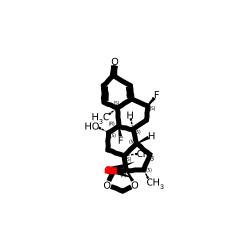 C[C@H]1C[C@H]2[C@@H]3C[C@H](F)C4=CC(=O)C=C[C@]4(C)[C@@]3(F)[C@@H](O)C[C@]2(C)[C@]12OCOC21COCO1